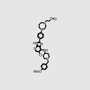 CCOCCN1CCCN(c2ccc(-c3nc4c(NC5CCN(Cc6ccc(OC)cc6)CC5)c(Cl)cnc4[nH]3)cc2)CC1